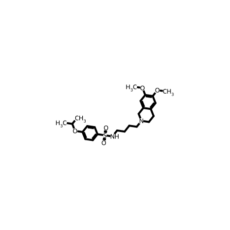 COc1cc2c(cc1OC)CN(CCCCNS(=O)(=O)c1ccc(OC(C)C)cc1)CC2